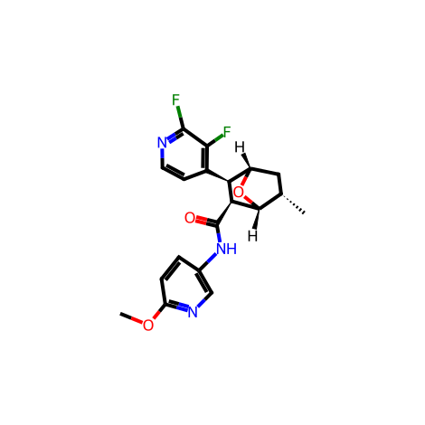 COc1ccc(NC(=O)[C@@H]2[C@@H]3O[C@@H](C[C@@H]3C)[C@@H]2c2ccnc(F)c2F)cn1